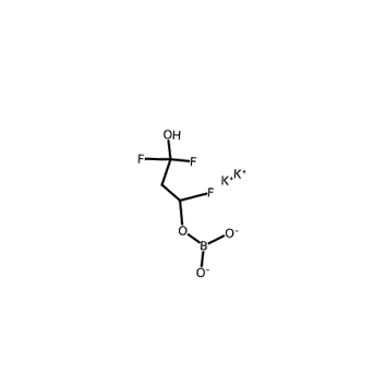 [K+].[K+].[O-]B([O-])OC(F)CC(O)(F)F